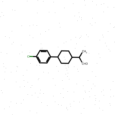 CC(C=O)C1CCC(c2ccc(Cl)cc2)CC1